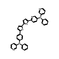 c1ccc(N(c2ccc(-c3ccc(-c4ccc(-c5ccc(N(c6ccccc6)c6cccnc6)cn5)s4)s3)cc2)c2cccnc2)cc1